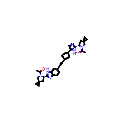 CC(=O)N1CC2(CC2)C[C@H]1c1nc2ccc(C#Cc3ccc(-c4cnc([C@@H]5CC6(CC6)CN5C(C)=P)[nH]4)cc3)cc2[nH]1